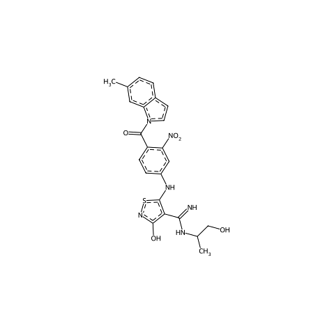 Cc1ccc2ccn(C(=O)c3ccc(Nc4snc(O)c4C(=N)NC(C)CO)cc3[N+](=O)[O-])c2c1